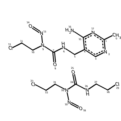 Cc1ncc(CNC(=O)N(CCCl)N=O)c(N)n1.O=NN(CCCl)C(=O)NCCCl